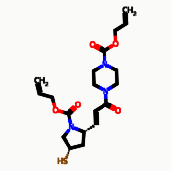 C=CCOC(=O)N1CCN(C(=O)/C=C/[C@@H]2C[C@H](S)CN2C(=O)OCC=C)CC1